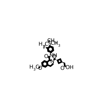 COc1ccc2c(c1)CCN(C(=O)[C@H]1C[C@H](CC(=O)O)C1)C2C(=O)Nc1ccc(S(C)(C)C)c(F)c1